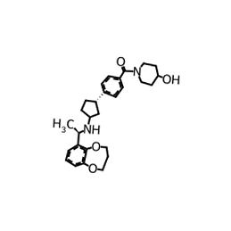 C[C@@H](NC1CC[C@H](c2ccc(C(=O)N3CCC(O)CC3)cc2)C1)c1cccc2c1OCCCO2